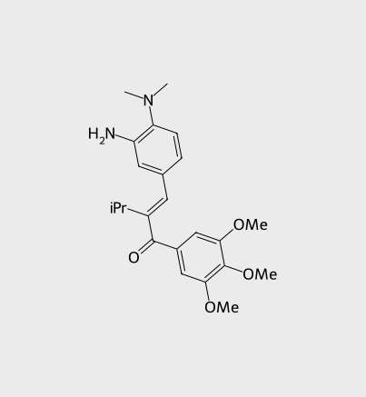 COc1cc(C(=O)C(=Cc2ccc(N(C)C)c(N)c2)C(C)C)cc(OC)c1OC